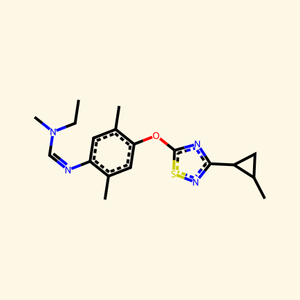 CCN(C)/C=N\c1cc(C)c(Oc2nc(C3CC3C)ns2)cc1C